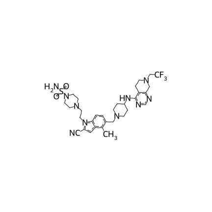 Cc1c(CN2CCC(Nc3ncnc4c3CCN(CC(F)(F)F)C4)CC2)ccc2c1cc(C#N)n2CCN1CCN(S(N)(=O)=O)CC1